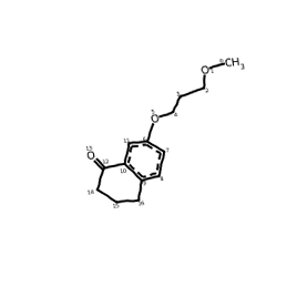 COCCCOc1ccc2c(c1)C(=O)CCC2